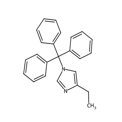 CCc1cn(C(c2ccccc2)(c2ccccc2)c2ccccc2)cn1